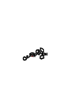 O[C@](c1ccccc1)(c1cc(C[N+]23CCC(CC2)C(CSc2ccccc2)C3)on1)C1CCCCC1